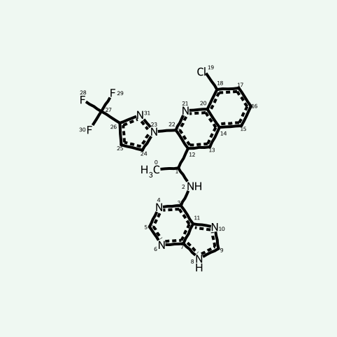 CC(Nc1ncnc2[nH]cnc12)c1cc2cccc(Cl)c2nc1-n1ccc(C(F)(F)F)n1